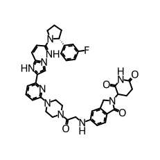 N=C(/C=C\c1ncc(-c2cccc(N3CCN(C(=O)CNc4ccc5c(c4)CN(C4CCC(=O)NC4=O)C5=O)CC3)n2)[nH]1)N1CCC[C@@H]1c1cccc(F)c1